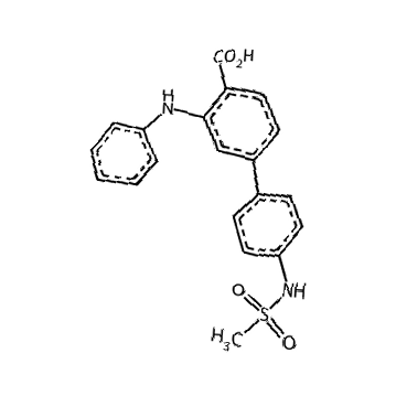 CS(=O)(=O)Nc1ccc(-c2ccc(C(=O)O)c(Nc3ccccc3)c2)cc1